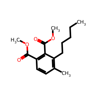 CCCCCc1c(C)ccc(C(=O)OC)c1C(=O)OC